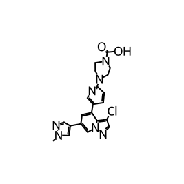 Cn1cc(-c2cc(-c3ccc(N4CCN(C(=O)O)CC4)nc3)c3c(Cl)cnn3c2)cn1